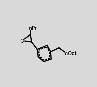 CCCCCCCCCc1cccc(C2OC2CCC)c1